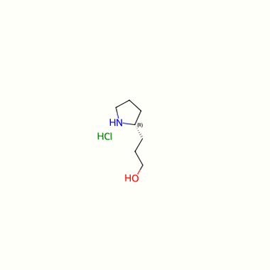 Cl.OCCC[C@H]1CCCN1